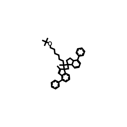 CC1=Cc2c(-c3ccccc3)cccc2C12CC1(CCC3C(c4ccccc4)=CC=CC31)C2(C)CCCCCCOC(C)(C)C